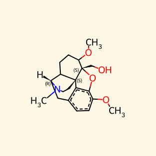 COc1ccc2c3c1O[C@@]1(CO)C(OC)CCC4[C@@H](C2)N(C)CC[C@@]341